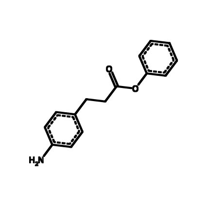 Nc1ccc(CCC(=O)Oc2ccccc2)cc1